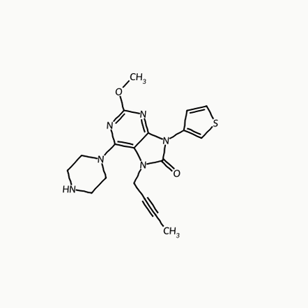 CC#CCn1c(=O)n(-c2ccsc2)c2nc(OC)nc(N3CCNCC3)c21